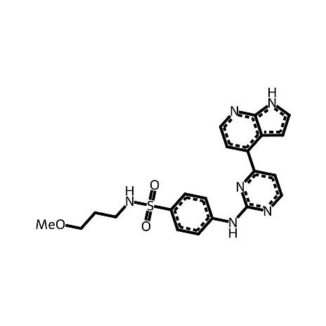 COCCCNS(=O)(=O)c1ccc(Nc2nccc(-c3ccnc4[nH]ccc34)n2)cc1